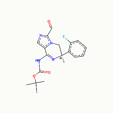 CC(C)(C)OC(=O)NC1=N[C@](C)(c2ccccc2F)Cn2c1cnc2C=O